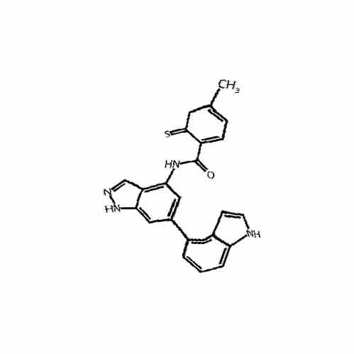 CC1=CC=C(C(=O)Nc2cc(-c3cccc4[nH]ccc34)cc3[nH]ncc23)C(=S)C1